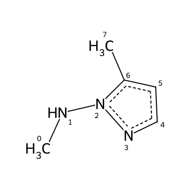 CNn1nccc1C